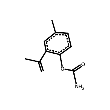 C=C(C)c1cc(C)ccc1OC(N)=O